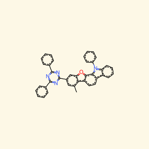 Cc1cc(-c2nc(-c3ccccc3)nc(-c3ccccc3)n2)cc2oc3c(ccc4c5ccccc5n(-c5ccccc5)c43)c12